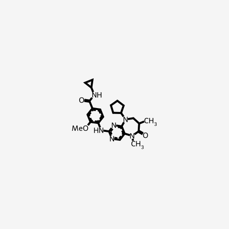 COc1cc(C(=O)NC2CC2)ccc1Nc1ncc2c(n1)N(C1CCCC1)CC(C)C(=O)N2C